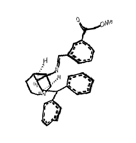 COC(=O)c1cccc(C=N[C@@H]2C3CCN(CC3)[C@@H]2C(c2ccccc2)c2ccccc2)c1